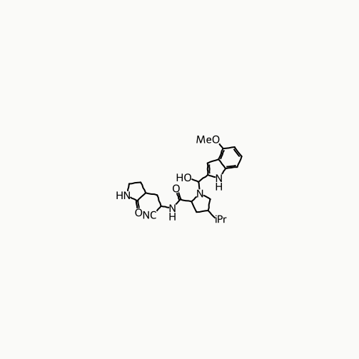 COc1cccc2[nH]c(C(O)N3CC(C(C)C)CC3C(=O)NC(C#N)CC3CCNC3=O)cc12